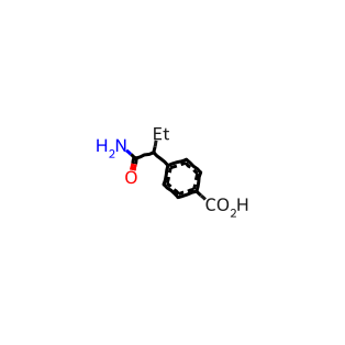 CCC(C(N)=O)c1ccc(C(=O)O)cc1